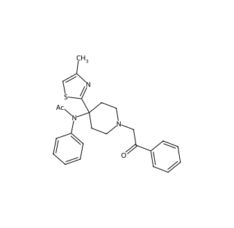 CC(=O)N(c1ccccc1)C1(c2nc(C)cs2)CCN(CC(=O)c2ccccc2)CC1